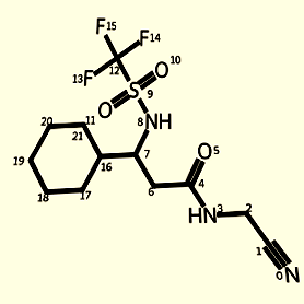 N#CCNC(=O)CC(NS(=O)(=O)C(F)(F)F)C1CCCCC1